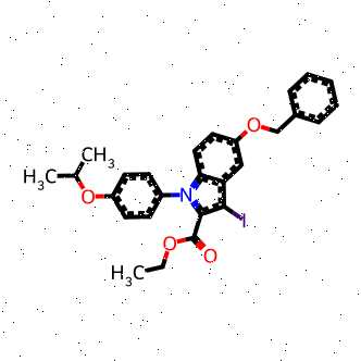 CCOC(=O)c1c(I)c2cc(OCc3ccccc3)ccc2n1-c1ccc(OC(C)C)cc1